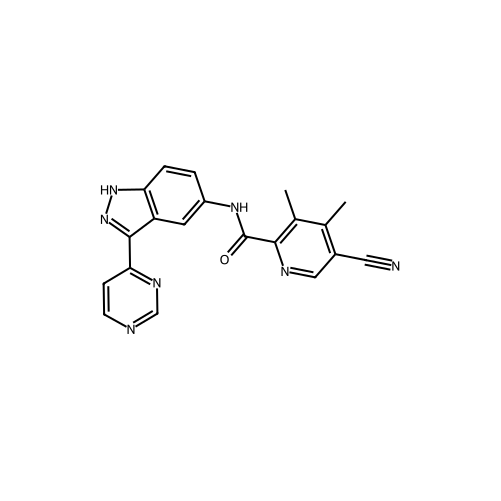 Cc1c(C#N)cnc(C(=O)Nc2ccc3[nH]nc(-c4ccncn4)c3c2)c1C